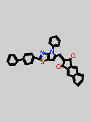 O=C1C(=Cc2cc3sc(-c4ccc(-c5ccccc5)cc4)nc3n2-c2ccccc2)C(=O)c2cc3ccccc3cc21